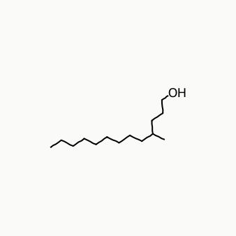 CCCCCCCCCC(C)CCCO